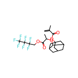 C=C(C)C(=O)OC12CC3CC(C1)C(OC(C)C(=O)OCC(F)(F)C(F)(F)C(F)(F)F)C(C3)C2